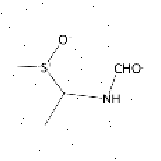 CC(N[C]=O)[S+](C)[O-]